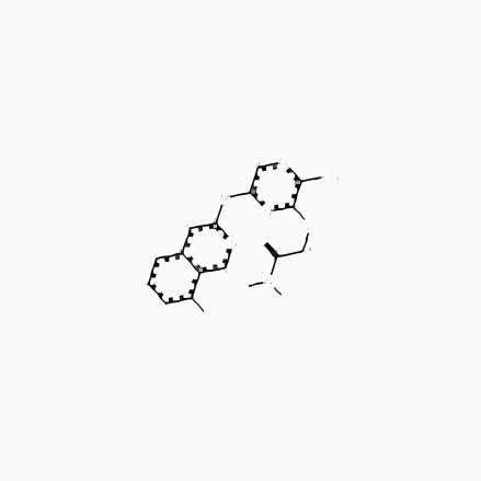 C[C@@H](Oc1nc(Nc2cc3cccc(Cl)c3cn2)cnc1C#N)C(=O)N(C)C